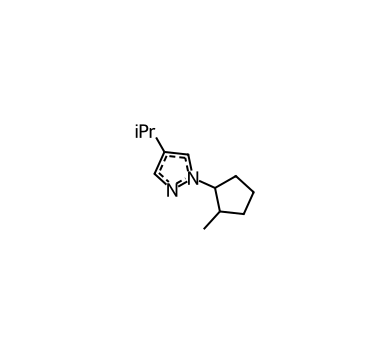 CC(C)c1cnn(C2CCCC2C)c1